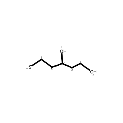 OCCC(O)CC[S]